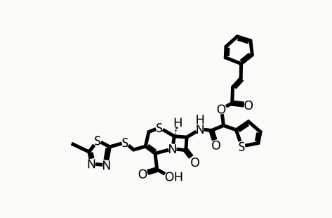 Cc1nnc(SCC2=C(C(=O)O)N3C(=O)C(NC(=O)C(OC(=O)C=Cc4ccccc4)c4cccs4)[C@@H]3SC2)s1